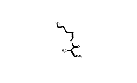 C/C=C(/C)C(=O)O/C=C\CCCC